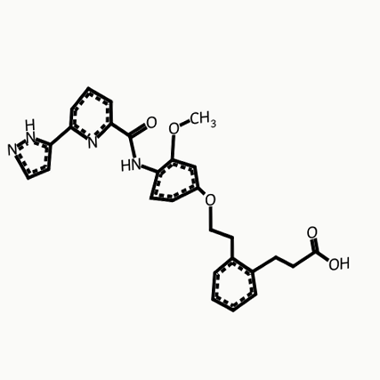 COc1cc(OCCc2ccccc2CCC(=O)O)ccc1NC(=O)c1cccc(-c2ccn[nH]2)n1